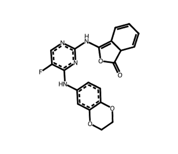 O=C1OC(Nc2ncc(F)c(Nc3ccc4c(c3)OCCO4)n2)=C2C=CC=CC12